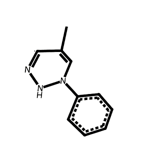 CC1=CN(c2ccccc2)NN=[C]1